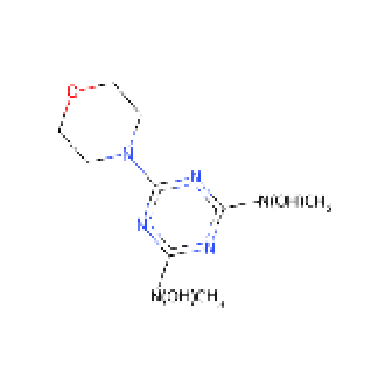 CN(O)c1nc(N(C)O)nc(N2CCOCC2)n1